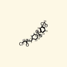 O=C(CCl)NCC1CCN(S(=O)(=O)c2ccc3c(c2)OCO3)CC1